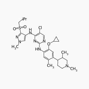 Cc1cc(Nc2ncc(Cl)c(Nc3cn(C)nc3S(=O)(=O)CC(C)C)n2)c(OC2CC2)cc1C1CCN(C)CC1C